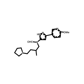 COc1ccc(-c2cc(N(C=O)CC(C)CCN3CCCC3)[nH]n2)cn1